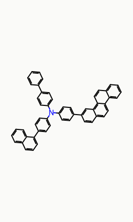 c1ccc(-c2ccc(N(c3ccc(-c4ccc5ccc6c7ccccc7ccc6c5c4)cc3)c3ccc(-c4cccc5ccccc45)cc3)cc2)cc1